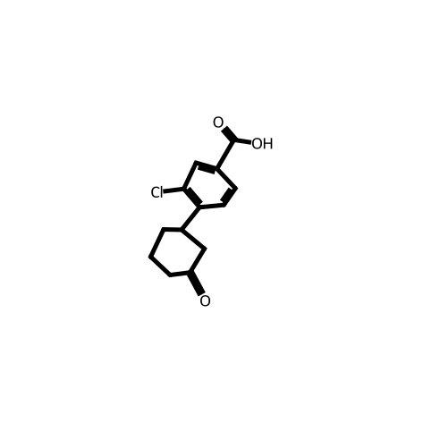 O=C1CCCC(c2ccc(C(=O)O)cc2Cl)C1